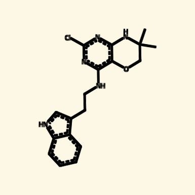 CC1(C)COc2c(NCCc3c[nH]c4ccccc34)nc(Cl)nc2N1